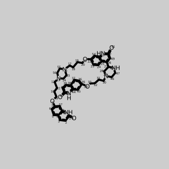 O=c1ccc2ccc(OCCCCN3CCN(CCCCOc4ccc5c(C6CN(CCCCOc7ccc8ccc(=O)[nH]c8c7)CCN6)cc(=O)[nH]c5c4)CC3)cc2[nH]1